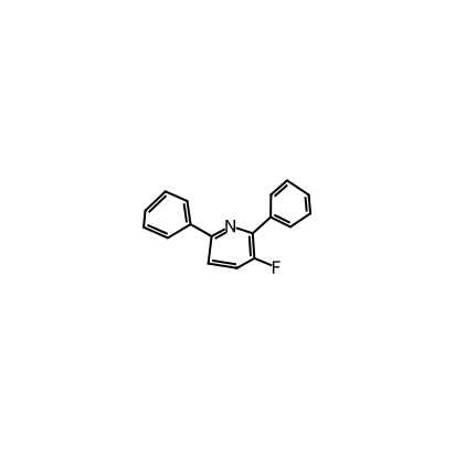 Fc1ccc(-c2ccccc2)nc1-c1ccccc1